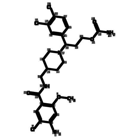 COc1cc(N)c(Cl)cc1C(=O)NCC1CCN(C(CCOC(N)=O)c2ccc(Cl)c(Cl)c2)CC1